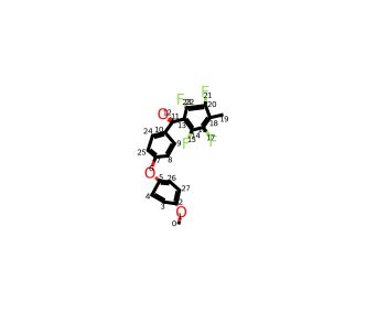 COc1ccc(Oc2ccc(C(=O)c3c(F)c(F)c(C)c(F)c3F)cc2)cc1